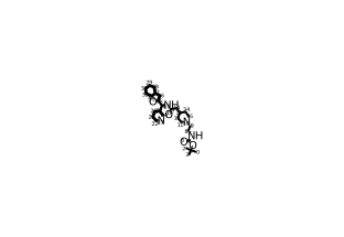 CC(C)(C)OC(=O)NCCN1CCC(CC(=O)NC(c2cccnc2)c2cc3ccccc3o2)CC1